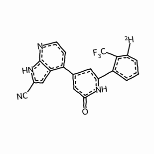 [2H]c1cccc(-c2cc(-c3ccnc4[nH]c(C#N)cc34)cc(=O)[nH]2)c1C(F)(F)F